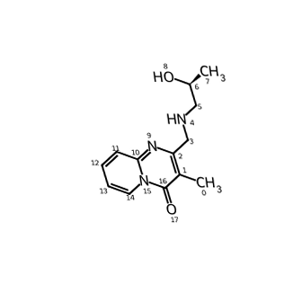 Cc1c(CNC[C@H](C)O)nc2ccccn2c1=O